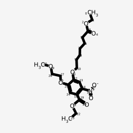 CCOC(=O)CCCCCCOc1cc([N+](=O)[O-])c(C(=O)OCC)cc1OCCOC